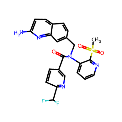 CS(=O)(=O)c1ncccc1N(Cc1ccc2ccc(N)nc2c1)C(=O)c1ccc(C(F)F)nc1